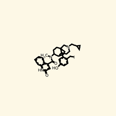 CN(C(=O)c1cc(=O)[nH]c2ccccc12)C1CCC23CCC1C2(c1cc(O)ccc1CI)CCN(CC1CC1)C3